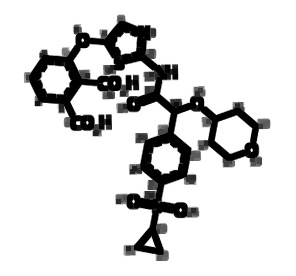 O=C(O)c1cccc(Oc2cnc(NC(=O)C(OC3CCOCC3)c3ccc(S(=O)(=O)C4CC4)cc3)s2)c1C(=O)O